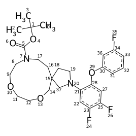 CC(C)(C)OC(=O)N1CCOCCOCC2(CC1)CCN(c1cc(F)c(F)cc1Oc1cccc(F)c1)C2